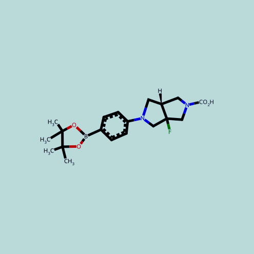 CC1(C)OB(c2ccc(N3C[C@@H]4CN(C(=O)O)CC4(F)C3)cc2)OC1(C)C